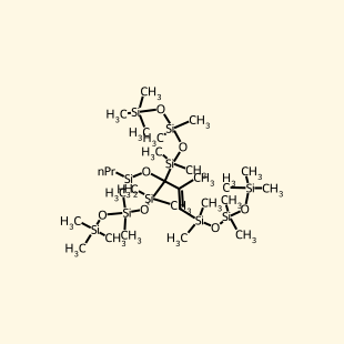 CCC[SiH2]OC(/C(C)=C/[Si](C)(C)O[Si](C)(C)O[Si](C)(C)C)([Si](C)(C)O[Si](C)(C)O[Si](C)(C)C)[Si](C)(C)O[Si](C)(C)O[Si](C)(C)C